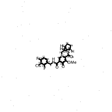 COc1c2n(cc(C(=O)NCc3ccc(F)c(Cl)c3F)c1=O)C[C@@H]1[C@@H]3CC[C@@H](C3)N1C2=O